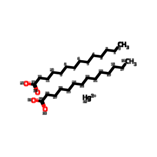 CCCCCCCCCCCCCC(=O)[O-].CCCCCCCCCCCCCC(=O)[O-].[Hg+2]